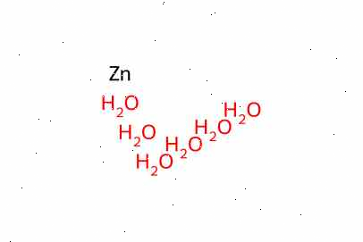 O.O.O.O.O.O.[Zn]